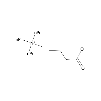 CCCC(=O)[O-].CCC[N+](C)(CCC)CCC